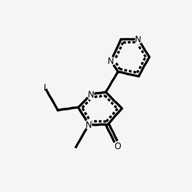 Cn1c(CI)nc(-c2ccncn2)cc1=O